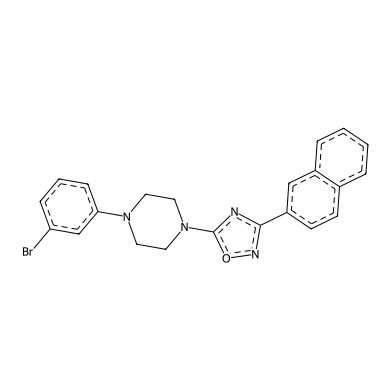 Brc1cccc(N2CCN(c3nc(-c4ccc5ccccc5c4)no3)CC2)c1